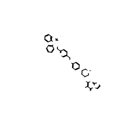 CN1C[C@H](Nc2nc3sccn3c(=O)c2Br)C[C@H](c2ccc(OCc3ccc(CO[Si](c4ccccc4)(c4ccccc4)C(C)(C)C)nc3)cc2)C1